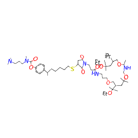 CCOC(C)(C)CC(COC(C)NCOC(C)(C)CC(COCCCNC(=O)CCN1C(=O)CC(SCCCCCC(C)c2ccc(OC(=O)N(C)CCCN(C)C)cc2)C1=O)C(C)(C)OCC)C(C)C